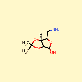 CC1(C)OC2C(O)O[C@H](CN)[C@H]2O1